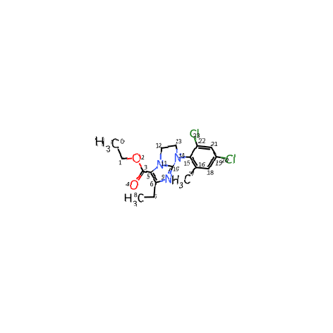 CCOC(=O)c1c(CC)nc2n1CCN2c1c(C)cc(Cl)cc1Cl